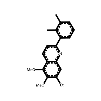 CCc1cc2nc(-c3cccc(C)c3C)ccc2c(OC)c1OC